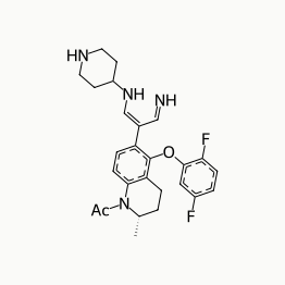 CC(=O)N1c2ccc(/C(C=N)=C/NC3CCNCC3)c(Oc3cc(F)ccc3F)c2CC[C@@H]1C